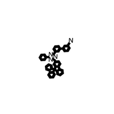 N#Cc1cccc(-c2cccc(-c3nc(-c4ccccc4)nc(-c4ccc5c(c4)C(c4ccccc4)(c4ccccc4)c4ccccc4-5)n3)c2)c1